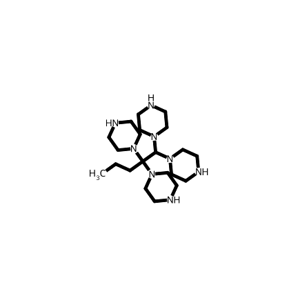 CCCC(C(N1CCNCC1)N1CCNCC1)(N1CCNCC1)N1CCNCC1